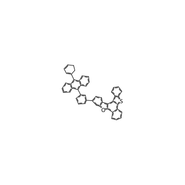 C1=CCCC(c2c3ccccc3c(-c3cccc(-c4ccc5c(c4)oc4c6ccccc6c6sc7ccccc7c6c54)c3)c3ccccc23)=C1